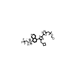 C[C@H](NS(=O)(=O)c1ccc(-c2sc(-c3nnc(CC(C)(C)OC=O)o3)nc2CC2CCC2)c2ccncc12)C(F)(F)F